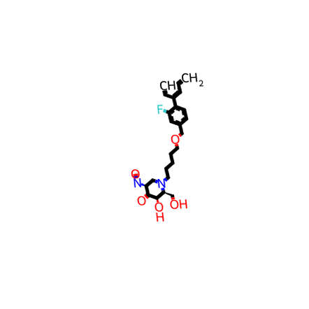 C=C/C=C(\C=C)c1ccc(COCCCCCN2C[C@H](N=O)C(=O)[C@H](O)[C@@H]2CO)cc1F